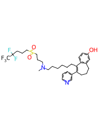 CN(CCCCCCC1=C(c2cccnc2)CCCc2cc(O)ccc21)CCCS(=O)(=O)CCCC(F)(F)C(F)(F)F